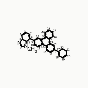 CN1C=NC2C=CC=C(c3ccc4c5ccc(C6=CC=CCC6)cc5c5ccccc5c4c3)C21